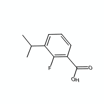 CC(C)c1cccc(C(=O)O)c1F